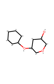 [O]C1COCC(OC2[CH]CCCC2)C1